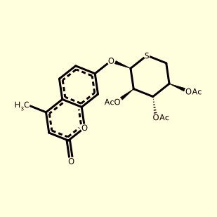 CC(=O)O[C@@H]1[C@@H](OC(C)=O)[C@@H](Oc2ccc3c(C)cc(=O)oc3c2)SC[C@H]1OC(C)=O